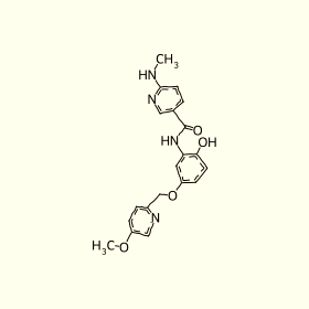 CNc1ccc(C(=O)Nc2cc(OCc3ccc(OC)cn3)ccc2O)cn1